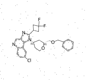 FC1(F)CC(c2nc3cnc4ccc(Cl)cc4c3n2[C@H]2CCO[C@@H](COCc3ccccc3)C2)C1